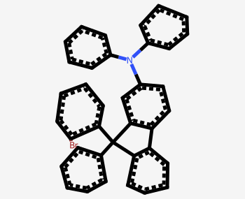 Brc1ccccc1C1(c2ccccc2)c2ccccc2-c2ccc(N(c3ccccc3)c3ccccc3)cc21